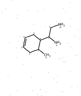 CC1CC=CCC1C(N)CN